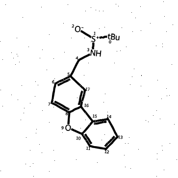 CC(C)(C)[S+]([O-])NCc1ccc2oc3ccccc3c2c1